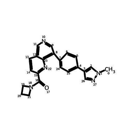 Cn1cc(-c2ccc(-c3cncc4ccc(C(=O)N5CCC5)nc34)cc2)cn1